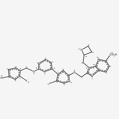 O=C(O)c1ccc2nc(COc3cc(-c4cccc(OCc5ccc(Cl)cc5F)n4)c(F)cn3)n(CC3CCO3)c2n1